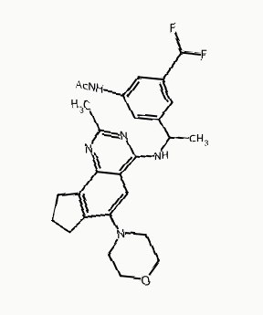 CC(=O)Nc1cc(C(F)F)cc(C(C)Nc2nc(C)nc3c4c(c(N5CCOCC5)cc23)CCC4)c1